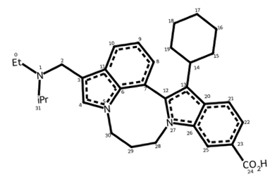 CCN(Cc1cn2c3c(cccc13)-c1c(C3CCCCC3)c3ccc(C(=O)O)cc3n1CCC2)C(C)C